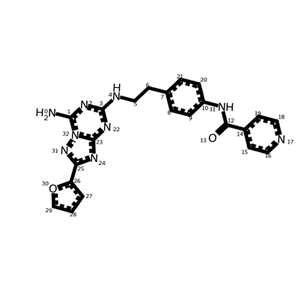 Nc1nc(NCCc2ccc(NC(=O)c3ccncc3)cc2)nc2nc(-c3ccco3)nn12